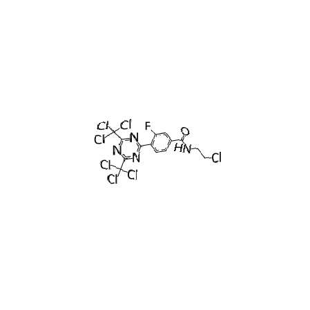 O=C(NCCCl)c1ccc(-c2nc(C(Cl)(Cl)Cl)nc(C(Cl)(Cl)Cl)n2)c(F)c1